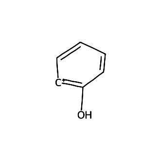 OC1=[C+]C=CC=C1